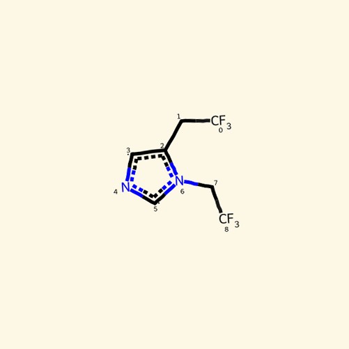 FC(F)(F)Cc1[c]n[c]n1CC(F)(F)F